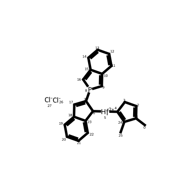 CC1=CC[C]([Hf+2][CH]2C(p3cc4ccccc4c3)=Cc3ccccc32)=C1C.[Cl-].[Cl-]